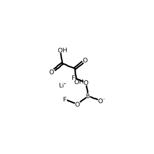 O=C(O)C(=O)O.[Li+].[O-]B(OF)OF